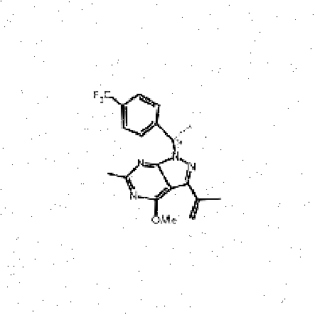 C=C(C)c1nn([C@@H](C)c2ccc(C(F)(F)F)cc2)c2nc(C)nc(OC)c12